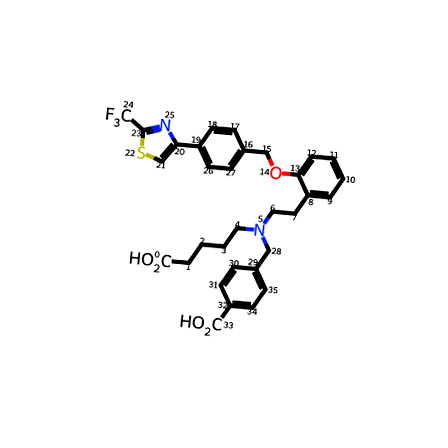 O=C(O)CCCCN(CCc1ccccc1OCc1ccc(-c2csc(C(F)(F)F)n2)cc1)Cc1ccc(C(=O)O)cc1